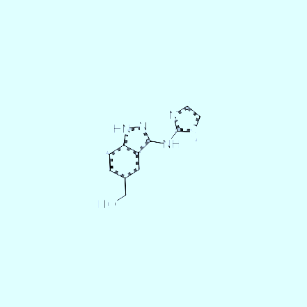 OCc1ccc2[nH]nc(Nc3nccs3)c2c1